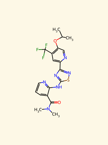 CC(C)Oc1cnc(-c2nsc(Nc3ncccc3C(=O)N(C)C)n2)cc1C(F)(F)F